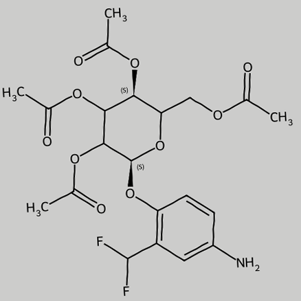 CC(=O)OCC1O[C@@H](Oc2ccc(N)cc2C(F)F)C(OC(C)=O)C(OC(C)=O)[C@H]1OC(C)=O